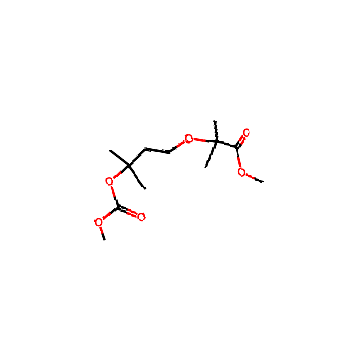 COC(=O)OC(C)(C)CCOC(C)(C)C(=O)OC